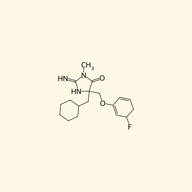 CN1C(=N)NC(COC2=CC(F)CC=C2)(CC2CCCCC2)C1=O